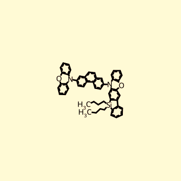 CCCC[Si]1(CCCC)c2ccccc2-c2cc3c(cc21)N(c1ccc2c(ccc4cc(N5c6ccccc6Oc6ccccc65)ccc42)c1)c1ccccc1O3